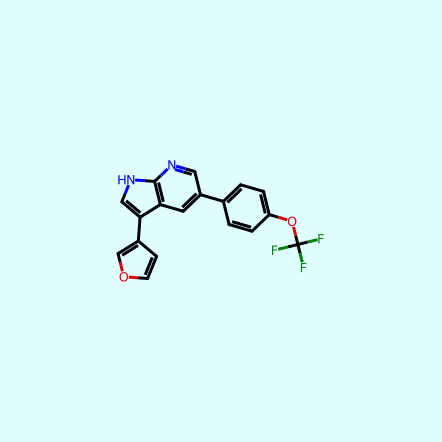 FC(F)(F)Oc1ccc(-c2cnc3[nH]cc(-c4ccoc4)c3c2)cc1